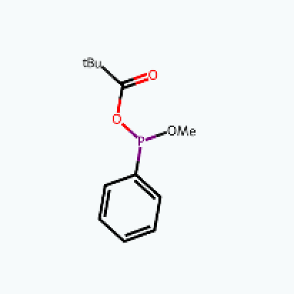 COP(OC(=O)C(C)(C)C)c1ccccc1